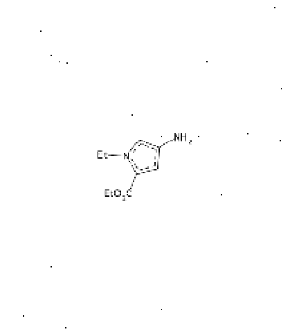 CCOC(=O)c1cc(N)cn1CC